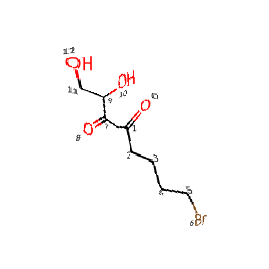 O=C(CCCCBr)C(=O)C(O)CO